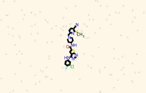 CSc1nc(CN2CCC(NC(=O)c3cc4c(Nc5ccc(F)c(Cl)c5)ncnc4s3)CC2)ccc1C#N